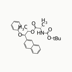 C[C@H](NC(=O)OC(C)(C)C)C(=O)O[C@@H](C)[C@H](Oc1ccccc1)c1ccc2ccccc2c1